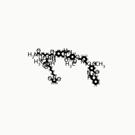 COc1cc2c(cc1OCc1cccc(COc3cc4c(cc3OC)C(=O)N3Cc5cc(NC(=O)[C@H](CCCNC(N)=O)NC(=O)[C@@H](NC(=O)CCCCCN6C(=O)C=CC6=O)C(C)C)ccc5C[C@H]3C=N4)n1)N=C[C@@H]1Cc3ccccc3CN1C2=O